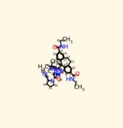 CCNC(=O)c1ccc2c(c1)CCc1cc(C(=O)NCC)ccc1C2(C[C@H](NCC(=O)N1CCCC1C#N)C(C)(C)C)c1nnn[nH]1